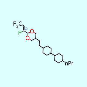 CCCC1CCC(C2CCC(CCC3COC(/C(F)=C/C(F)(F)F)OC3)CC2)CC1